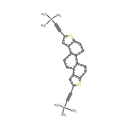 C[Si](C)(C)C#Cc1cc2c(ccc3c2ccc2c4cc(C#C[Si](C)(C)C)sc4ccc23)s1